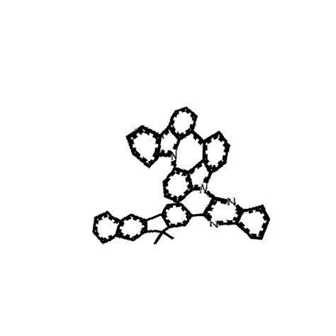 CC1(C)c2cc(-c3nc4ccccc4nc3-n3c4cccc5c6cccc7c8ccccc8n(c8cccc3c8c54)c67)ccc2-c2cc3ccccc3cc21